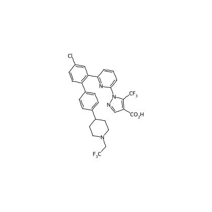 O=C(O)c1cnn(-c2cccc(-c3cc(Cl)ccc3-c3ccc(C4CCN(CC(F)(F)F)CC4)cc3)n2)c1C(F)(F)F